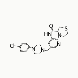 O=C1Nc2cc(CN3CCN(c4ccc(Cl)cc4)CC3)cnc2N2CCSCC12